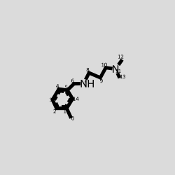 Cc1cccc(CNCCCN(C)C)c1